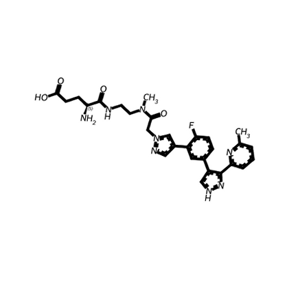 Cc1cccc(-c2n[nH]cc2-c2ccc(F)c(-c3cnn(CC(=O)N(C)CCNC(=O)[C@@H](N)CCC(=O)O)c3)c2)n1